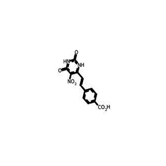 O=C(O)c1ccc(/C=C/c2[nH]c(=O)[nH]c(=O)c2[N+](=O)[O-])cc1